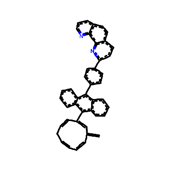 C=C1/C=C\C=C/C/C=C\C(c2c3ccccc3c(-c3ccc(-c4ccc5ccc6cccnc6c5n4)cc3)c3ccccc23)=C/1